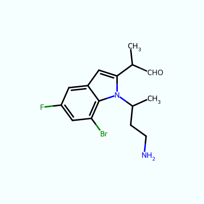 CC(C=O)c1cc2cc(F)cc(Br)c2n1C(C)CCN